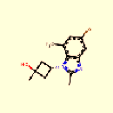 Cc1nc2cc(Br)cc(C(F)(F)F)c2n1[C@H]1C[C@@](C)(O)C1